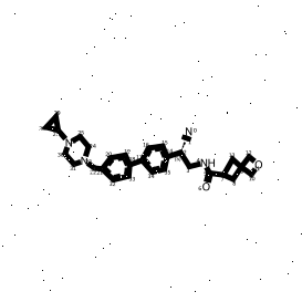 N#C[C@H](CNC(=O)C1CC2(COC2)C1)c1ccc(-c2ccc(CN3CCN(C4CC4)CC3)cc2)cc1